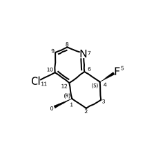 C[C@@H]1CC[C@H](F)c2nccc(Cl)c21